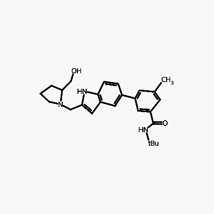 Cc1cc(C(=O)NC(C)(C)C)cc(-c2ccc3[nH]c(CN4CCCC4CO)cc3c2)c1